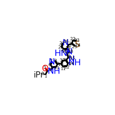 CC(C)CC(=O)Nc1cncc(-c2ccc3[nH]nc(-c4nc5c(-c6ccsc6)nccc5[nH]4)c3c2)c1